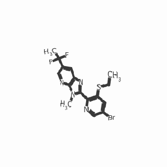 CCSc1cc(Br)cnc1-c1nc2cc(C(C)(F)F)cnc2n1C